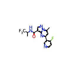 Cc1cc(-c2cnccc2F)nc2c(C(=O)NC(C)C(F)(F)F)cnn12